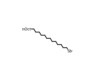 CCCCCCCCCCCCCCCCCCCC[CH2][Sb]